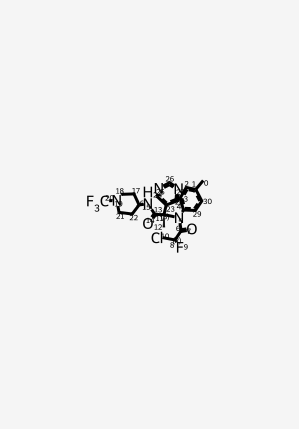 Cc1ccc(N(C(=O)[C@H](F)Cl)[C@](C)(C(=O)NC2CCN(C(F)(F)F)CC2)c2cncnc2)cc1